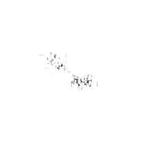 N=C(N)C1NCC=C1CC(N)C(=O)NCCCCCC(=O)NC(C(=O)O)c1c[nH]c2ccccc12